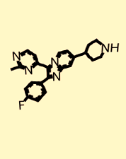 Cc1nccc(-c2c(-c3ccc(F)cc3)nc3cc(C4CCNCC4)ccn23)n1